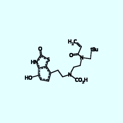 C=CC(=O)N(CCN(CCc1ccc(O)c2[nH]c(=O)sc12)C(=O)O)CC(C)(C)C